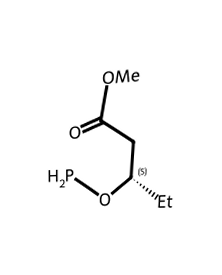 CC[C@@H](CC(=O)OC)OP